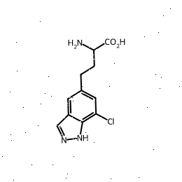 NC(CCc1cc(Cl)c2[nH]ncc2c1)C(=O)O